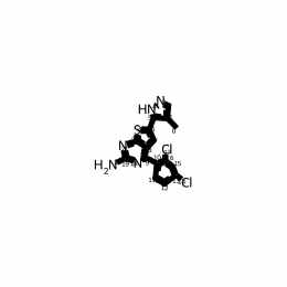 Cc1cn[nH]c1-c1cc2c(-c3ccc(Cl)cc3Cl)nc(N)nc2s1